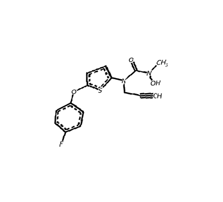 C#CCN(C(=O)N(C)O)c1ccc(Oc2ccc(F)cc2)s1